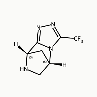 FC(F)(F)c1nnc2n1[C@@H]1CN[C@H]2C1